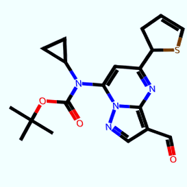 CC(C)(C)OC(=O)N(c1cc(C2CC=CS2)nc2c(C=O)cnn12)C1CC1